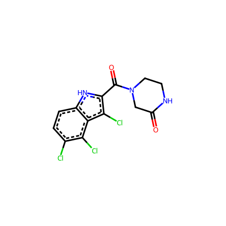 O=C1CN(C(=O)c2[nH]c3ccc(Cl)c(Cl)c3c2Cl)CCN1